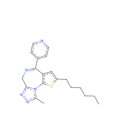 CCCCCCc1cc2c(s1)-n1c(C)nnc1CN=C2c1ccncc1